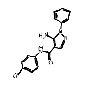 Nc1c(C(=O)Nc2ccc(Cl)cc2)cnn1-c1ccccc1